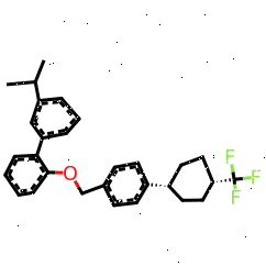 CC(C)c1cccc(-c2ccccc2OCc2ccc([C@H]3CC[C@@H](C(F)(F)F)CC3)cc2)c1